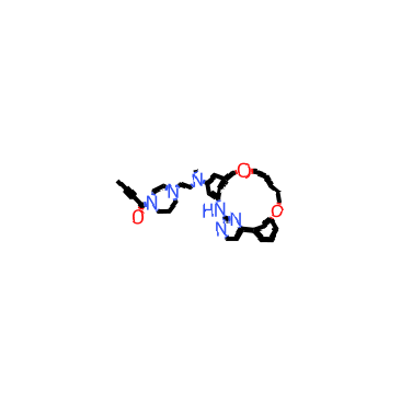 CC#CC(=O)N1CCCN(CCN(C)c2cc3cc(c2)Nc2nccc(n2)-c2cccc(c2)OCC/C=C/COC3)CC1